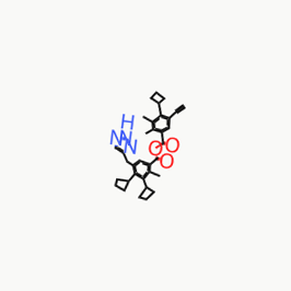 C#Cc1cc(C(=O)OC(=O)c2cc(Cc3cn[nH]n3)c(C3CCC3)c(C3CCC3)c2C)c(C)c(C)c1C1CCC1